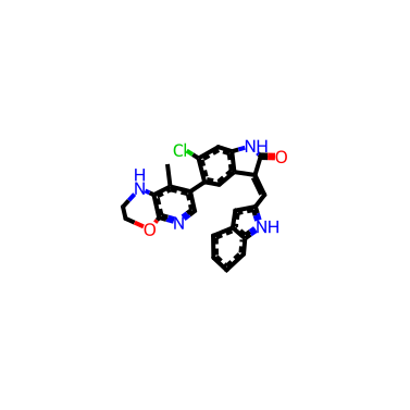 Cc1c(-c2cc3c(cc2Cl)NC(=O)C3=Cc2cc3ccccc3[nH]2)cnc2c1NCCO2